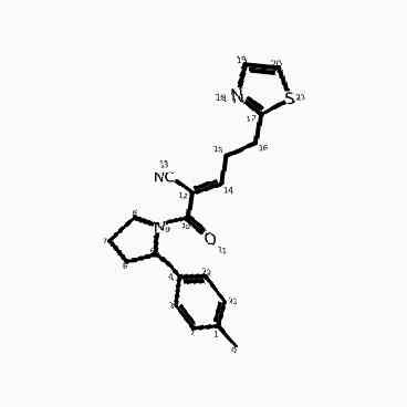 Cc1ccc(C2CCCN2C(=O)/C(C#N)=C/CCc2nccs2)cc1